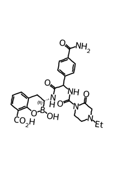 CCN1CCN(C(=O)NC(C(=O)N[C@H]2Cc3cccc(C(=O)O)c3OB2O)c2ccc(C(N)=O)cc2)C(=O)C1